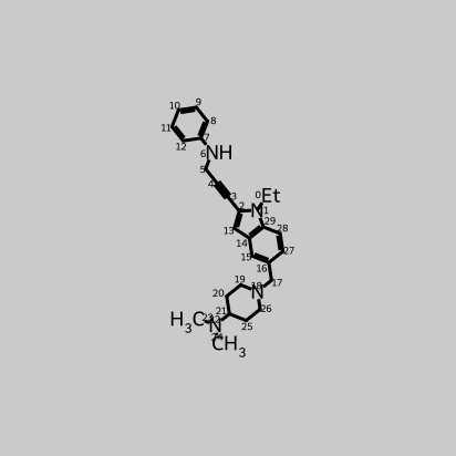 CCn1c(C#CCNc2ccccc2)cc2cc(CN3CCC(N(C)C)CC3)ccc21